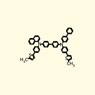 Cc1ccc(-c2ccc(N(c3ccc(-c4ccccc4)cc3)c3ccc(-c4ccc(N(c5ccc(-c6ccc(C)s6)cc5)c5cccc6ccccc56)cc4)cc3)cc2)s1